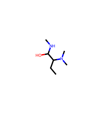 CCC(C(O)NC)N(C)C